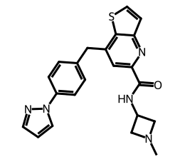 CN1CC(NC(=O)c2cc(Cc3ccc(-n4cccn4)cc3)c3sccc3n2)C1